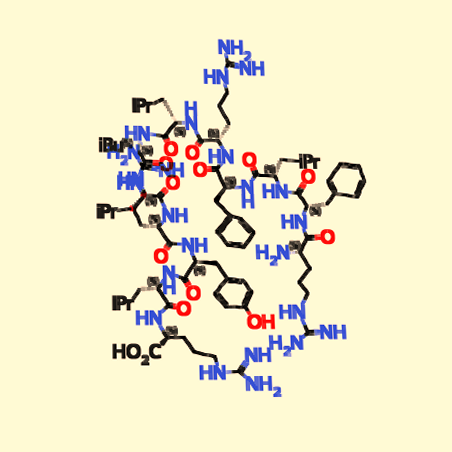 CC[C@H](C)[C@H](NC(=O)[C@H](CC(C)C)NC(=O)[C@H](CCCNC(=N)N)NC(=O)[C@H](Cc1ccccc1)NC(=O)[C@H](CC(C)C)NC(=O)[C@H](Cc1ccccc1)NC(=O)[C@@H](N)CCCNC(=N)N)C(=O)N[C@@H](CC(C)C)C(=O)N[C@@H](CCCNC(=N)N)C(=O)N[C@@H](Cc1ccc(O)cc1)C(=O)N[C@@H](CC(C)C)C(=O)N[C@@H](CCCNC(=N)N)C(=O)O